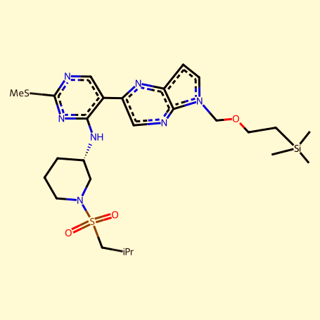 CSc1ncc(-c2cnc3c(ccn3COCC[Si](C)(C)C)n2)c(N[C@H]2CCCN(S(=O)(=O)CC(C)C)C2)n1